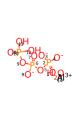 O.O=P([O-])([O-])OP(=O)([O-])OP(=O)(O)O.[Al+3]